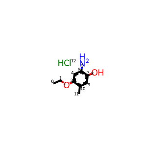 CCOc1cc(N)c(O)cc1C.Cl